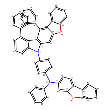 c1ccc(-c2cccc3c2c2c(-c4ccccc4)c4c(cc2n3-c2ccc(N(c3ccccc3)c3ccc5c(c3)oc3ccccc35)cc2)oc2ccccc24)cc1